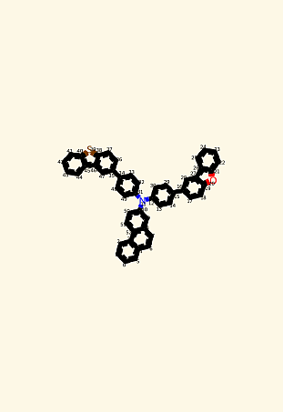 c1ccc2c(c1)ccc1cc(N(c3ccc(-c4ccc5oc6ccccc6c5c4)cc3)c3ccc(-c4ccc5sc6ccccc6c5c4)cc3)ccc12